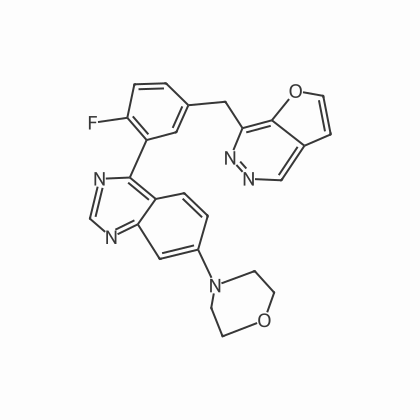 Fc1ccc(Cc2nncc3ccoc23)cc1-c1ncnc2cc(N3CCOCC3)ccc12